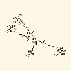 C#CC(=O)NCCCCCC(=O)NC(COCCC(=O)NCCOCCOCCO[C@H]1OC(CO)[C@@H](O)C(O)C1O)(COCCC(=O)NCCOCCOCCO[C@H]1OC(CO)[C@@H](O)C(O)C1O)COCCC(=O)NCCOCCOCCO[C@H]1OC(CO)[C@@H](O)C(O)C1O